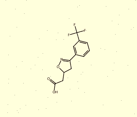 O=C(O)CC1CC(c2cccc(C(F)(F)F)c2)=NO1